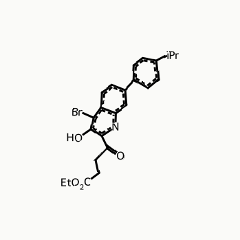 CCOC(=O)CCC(=O)c1nc2cc(-c3ccc(C(C)C)cc3)ccc2c(Br)c1O